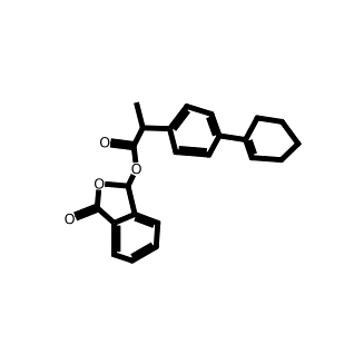 CC(C(=O)OC1OC(=O)c2ccccc21)c1ccc(C2=CCCCC2)cc1